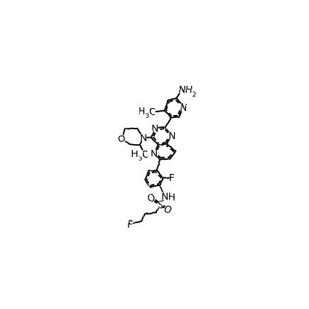 Cc1cc(N)ncc1-c1nc(N2CCOCC2C)c2nc(-c3cccc(NS(=O)(=O)CCCF)c3F)ccc2n1